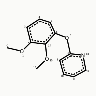 COc1cccc(Oc2c[c]ccn2)c1OC